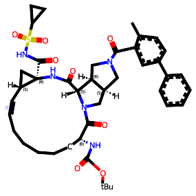 Cc1ccc(-c2ccccc2)cc1C(=O)N1C[C@H]2CN3C(=O)[C@H](NC(=O)OC(C)(C)C)CCCCC/C=C\[C@@H]4C[C@@]4(C(=O)NS(=O)(=O)C4CC4)NC(=O)[C@@H]3[C@H]2C1